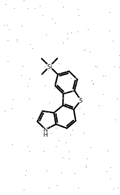 C[Si](C)(C)c1ccc2sc3ccc4[nH]ccc4c3c2c1